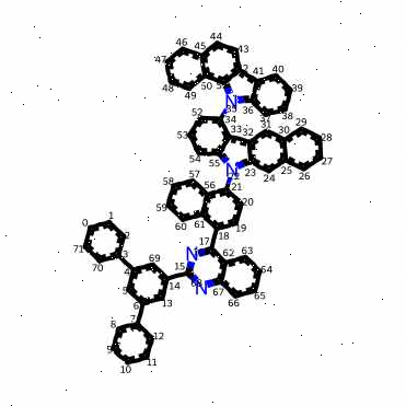 c1ccc(-c2cc(-c3ccccc3)cc(-c3nc(-c4ccc(-n5c6cc7ccccc7cc6c6c(-n7c8ccccc8c8ccc9ccccc9c87)cccc65)c5ccccc45)c4ccccc4n3)c2)cc1